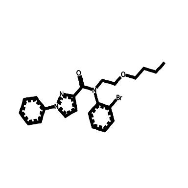 CCCCOCCN(C(=O)c1ccn(-c2ccccc2)n1)c1ccccc1Br